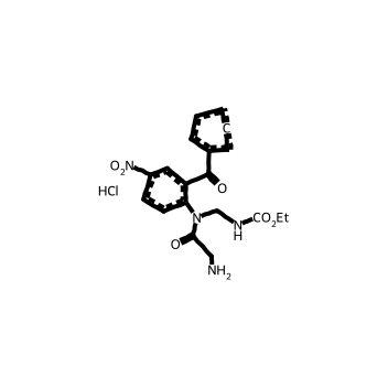 CCOC(=O)NCN(C(=O)CN)c1ccc([N+](=O)[O-])cc1C(=O)c1ccccc1.Cl